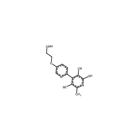 COCCOc1ccc(-c2c(C#N)c(C)nc(S)c2C#N)nc1